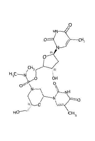 Cc1cn(C2CN(P(=O)(OCC3O[C@@H](n4cc(C)c(=O)[nH]c4=O)C[C@@H]3O)N(C)C)C[C@@H](CO)O2)c(=O)[nH]c1=O